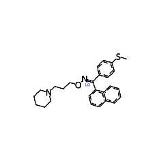 CSc1ccc(/C(=N/OCCCN2CCCCC2)c2cccc3ccccc23)cc1